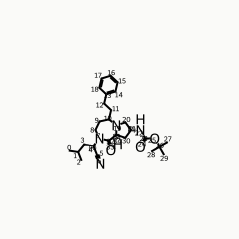 CC(C)C[C@H](C#N)N1CCC(CCc2ccccc2)N2C[C@H](NC(=O)OC(C)(C)C)C[C@H]2C1=O